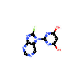 Oc1cc(O)nc(-n2c(F)nc3ncncc32)n1